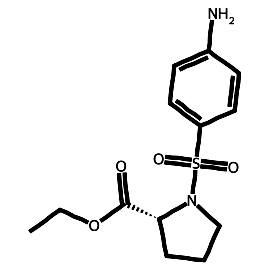 CCOC(=O)[C@H]1CCCN1S(=O)(=O)c1ccc(N)cc1